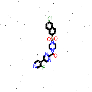 O=C(c1ncc(-c2ccncc2F)cn1)N1CCN(S(=O)(=O)c2ccc3cc(Cl)ccc3c2)CC1